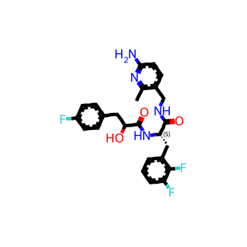 Cc1nc(N)ccc1CNC(=O)[C@H](Cc1cccc(F)c1F)NC(=O)C(O)Cc1ccc(F)cc1